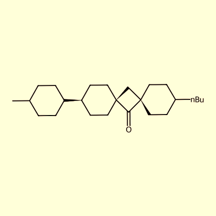 CCCCC1CC[C@]2(CC1)C[C@@]1(CC[C@H](C3CCC(C)CC3)CC1)C2=O